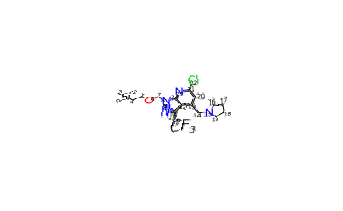 C[Si](C)(C)CCOCn1nc(C(F)(F)F)c2c(CN3CCCC3)cc(Cl)nc21